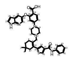 CC1(C)CCC(CN2CCN(c3ccc(C(=O)O)c(Oc4cnc5[nH]ccc5c4)c3)CC2)=C(c2cc(C(=O)Nc3ccccc3)cs2)C1